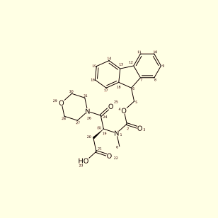 CN(C(=O)OCC1c2ccccc2-c2ccccc21)[C@@H](CC(=O)O)C(=O)N1CCOCC1